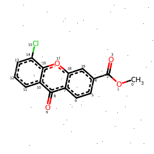 COC(=O)c1ccc2c(=O)c3cccc(Cl)c3oc2c1